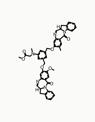 COC(=O)CN(C)c1cc(COc2cc3c(cc2C)C(=O)N2c4ccccc4C[C@H]2C=N3)cc(COc2cc3c(cc2OC)C(=O)N2c4ccccc4C[C@H]2C=N3)c1